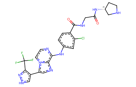 O=C(CNC(=O)c1ccc(Nc2nccn3c(-c4c[nH]nc4C(F)(F)F)cnc23)cc1Cl)N[C@@H]1CCNC1